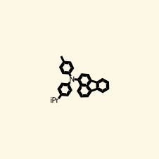 Cc1ccc(N(c2ccc(C(C)C)cc2)c2ccc3c4c(cccc24)-c2ccccc2-3)cc1